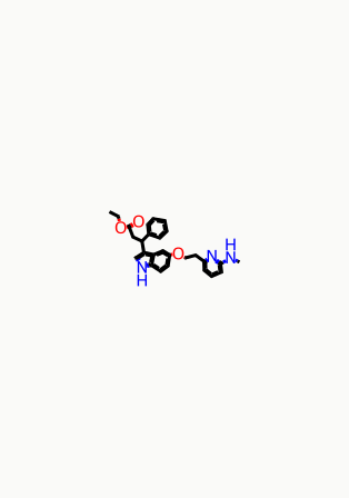 CCOC(=O)CC(c1ccccc1)c1c[nH]c2ccc(OCCc3cccc(NC)n3)cc12